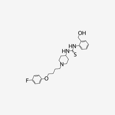 OCc1ccccc1NC(=S)NC1CCN(CCCCOc2ccc(F)cc2)CC1